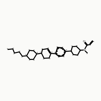 C=CC(=O)N(C)C1CCC(c2ccc(C3=CCC(C4CCC(CCCCC)CC4)CC3)cc2)CC1